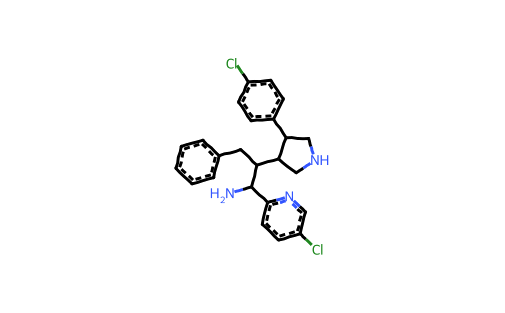 NC(c1ccc(Cl)cn1)C(Cc1ccccc1)C1CNCC1c1ccc(Cl)cc1